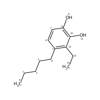 CCCCCc1ccc(O)c(O)c1CC